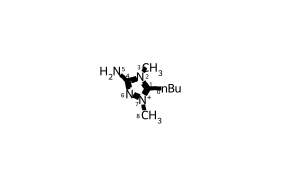 CCCCc1n(C)c(N)n[n+]1C